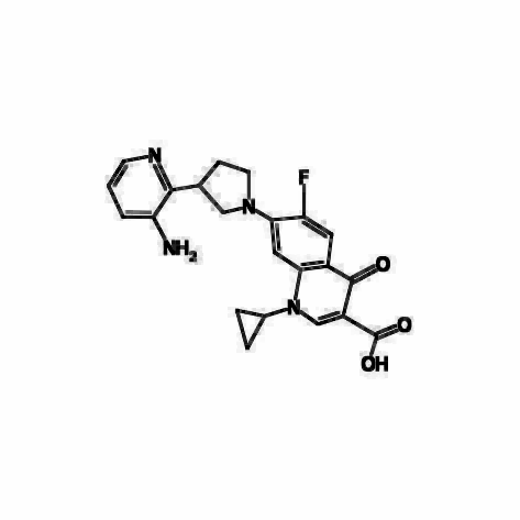 Nc1cccnc1C1CCN(c2cc3c(cc2F)c(=O)c(C(=O)O)cn3C2CC2)C1